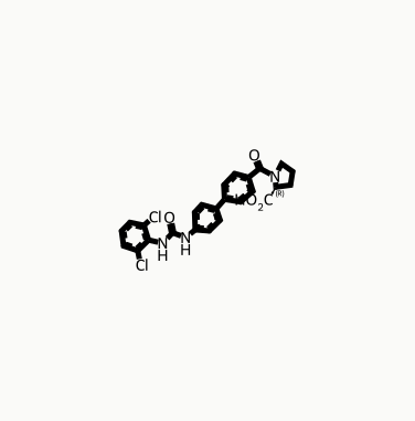 O=C(Nc1ccc(-c2ccc(C(=O)N3CCC[C@@H]3C(=O)O)cc2)cc1)Nc1c(Cl)cccc1Cl